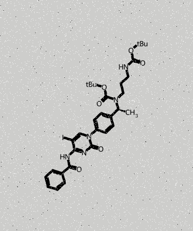 C[C@@H](c1ccc(-n2cc(I)c(NC(=O)c3ccccc3)nc2=O)cc1)N(CCCNC(=O)OC(C)(C)C)C(=O)OC(C)(C)C